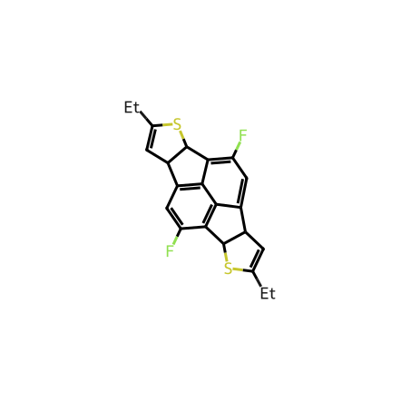 CCC1=CC2c3cc(F)c4c5c(cc(F)c(c35)C2S1)C1C=C(CC)SC41